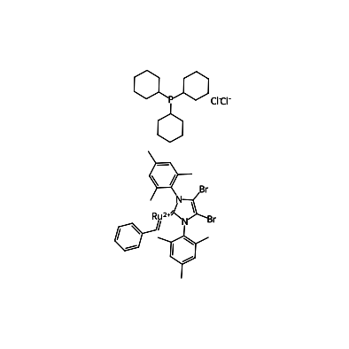 C1CCC(P(C2CCCCC2)C2CCCCC2)CC1.Cc1cc(C)c(-n2c(Br)c(Br)n(-c3c(C)cc(C)cc3C)[c]2=[Ru+2]=[CH]c2ccccc2)c(C)c1.[Cl-].[Cl-]